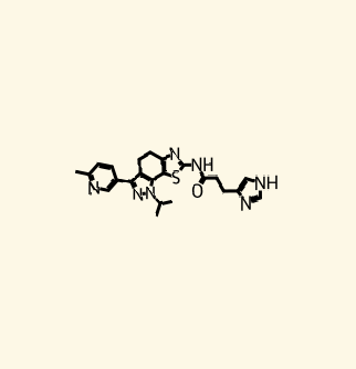 Cc1ccc(-c2nn(C(C)C)c3c2CCc2nc(NC(=O)CCc4c[nH]cn4)sc2-3)cn1